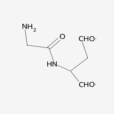 NCC(=O)NC([C]=O)C[C]=O